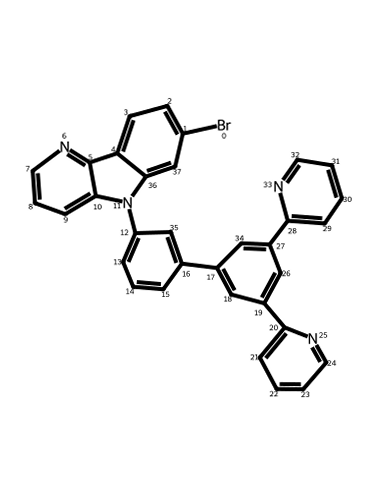 Brc1ccc2c3ncccc3n(-c3cccc(-c4cc(-c5ccccn5)cc(-c5ccccn5)c4)c3)c2c1